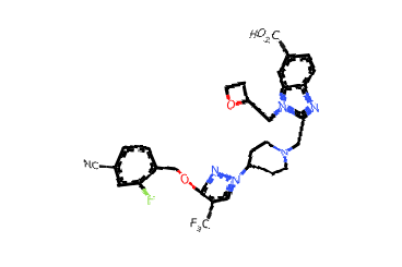 N#Cc1ccc(COc2nn(C3CCN(Cc4nc5ccc(C(=O)O)cc5n4CC4CCO4)CC3)cc2C(F)(F)F)c(F)c1